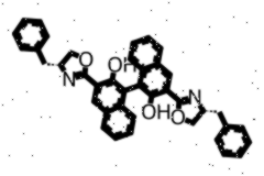 Oc1c(C2=N[C@H](Cc3ccccc3)CO2)cc2ccccc2c1-c1c(O)c(C2=N[C@H](Cc3ccccc3)CO2)cc2ccccc12